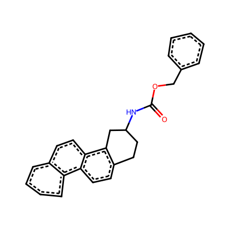 O=C(NC1CCc2ccc3c(ccc4ccccc43)c2C1)OCc1ccccc1